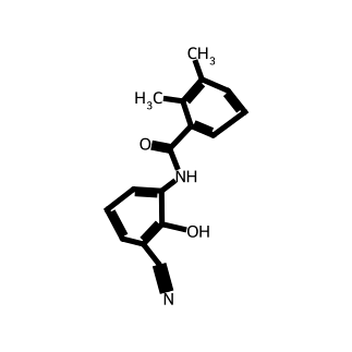 Cc1cccc(C(=O)Nc2cccc(C#N)c2O)c1C